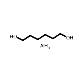 OCCCCCCO.[AlH3]